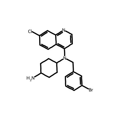 NC1CCC(N(Cc2cccc(Br)c2)c2ccnc3cc(Cl)ccc23)CC1